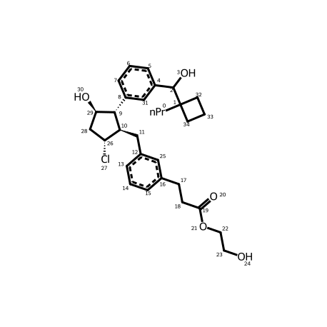 CCCC1(C(O)c2cccc([C@@H]3[C@@H](Cc4cccc(CCC(=O)OCCO)c4)[C@H](Cl)C[C@H]3O)c2)CCC1